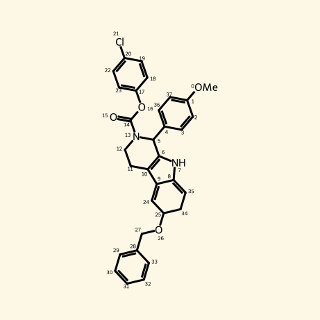 COc1ccc(C2c3[nH]c4c(c3CCN2C(=O)Oc2ccc(Cl)cc2)=CC(OCc2ccccc2)CC=4)cc1